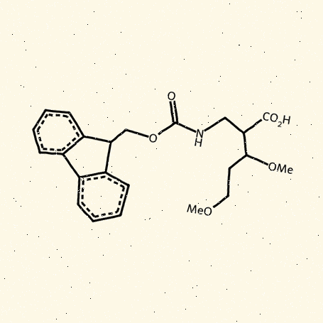 COCCC(OC)C(CNC(=O)OCC1c2ccccc2-c2ccccc21)C(=O)O